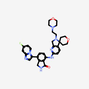 O=C1NCc2c(-c3cnc4cc(F)ccn34)ccc(Nc3ccc4c(n3)CN(CCN3CCOCC3)C43CCOCC3)c21